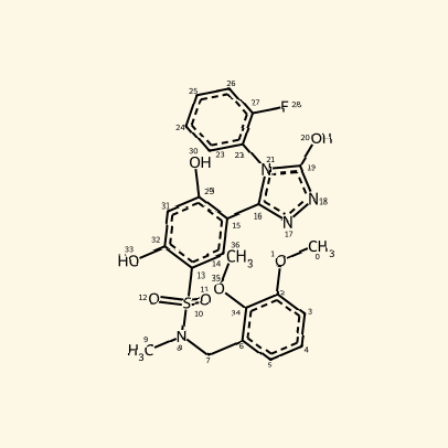 COc1cccc(CN(C)S(=O)(=O)c2cc(-c3nnc(O)n3-c3ccccc3F)c(O)cc2O)c1OC